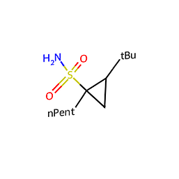 CCCCCC1(S(N)(=O)=O)CC1C(C)(C)C